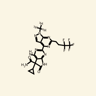 [2H]C([2H])([2H])n1ncc2c(-c3nc(N)c4c(n3)NC(=O)C4(C(N)=O)C3CC3)nc(CCC(F)(F)C(F)(F)F)nc21